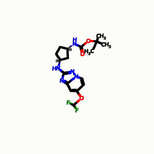 CC(C)(C)OC(=O)N[C@H]1CC[C@H](Nc2nc3cc(OC(F)F)ccn3n2)C1